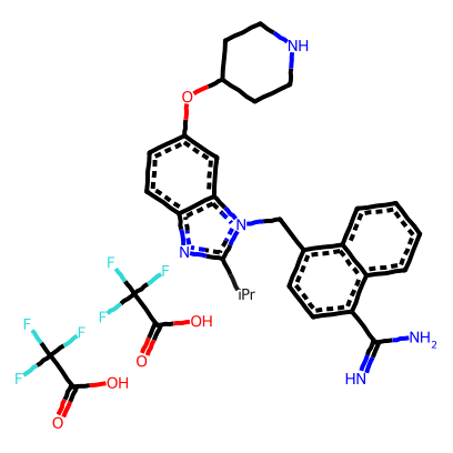 CC(C)c1nc2ccc(OC3CCNCC3)cc2n1Cc1ccc(C(=N)N)c2ccccc12.O=C(O)C(F)(F)F.O=C(O)C(F)(F)F